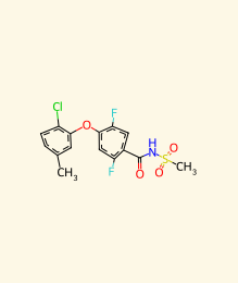 Cc1ccc(Cl)c(Oc2cc(F)c(C(=O)NS(C)(=O)=O)cc2F)c1